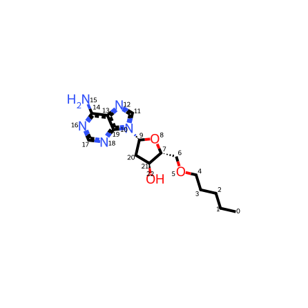 CCCCCOC[C@H]1O[C@@H](n2cnc3c(N)ncnc32)C[C@@H]1O